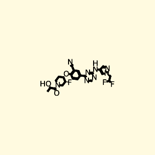 CC(O)C(=O)N1CC[C@H](Oc2ccc(-c3ncnc(Nc4cnn(CC(F)F)c4)n3)cc2C#N)[C@H](F)C1